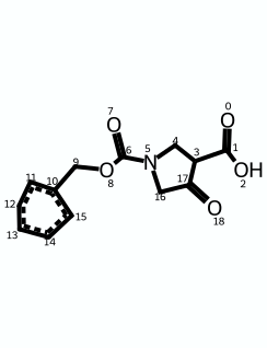 O=C(O)C1CN(C(=O)OCc2ccccc2)CC1=O